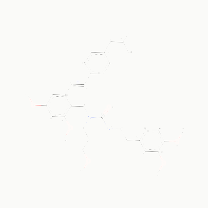 COCCCN(Cc1c(/C=C/c2ccc(CC(C)C)cc2)cc(OC)cc1OC)C(=O)NCCc1ccc(OC)c(OC)c1